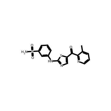 Cc1cccnc1C(=O)c1cnc(Nc2cccc(S(N)(=O)=O)c2)s1